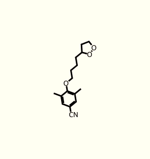 Cc1cc(C#N)cc(C)c1OCCCCC1CCOO1